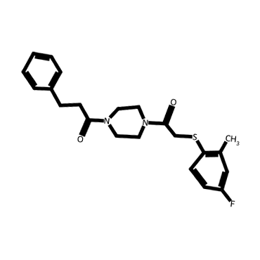 Cc1cc(F)ccc1SCC(=O)N1CCN(C(=O)CCc2ccccc2)CC1